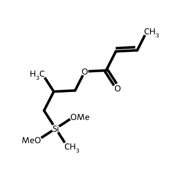 CC=CC(=O)OCC(C)C[Si](C)(OC)OC